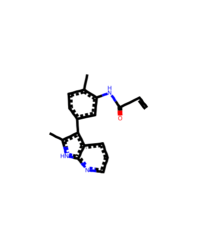 C=CC(=O)Nc1cc(-c2c(C)[nH]c3ncccc23)ccc1C